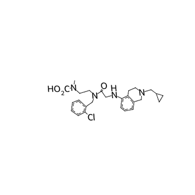 CN(CCN(Cc1ccccc1Cl)C(=O)CNc1cccc2c1CCN(CC1CC1)C2)C(=O)O